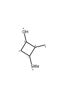 CSC1CC(O)C1C